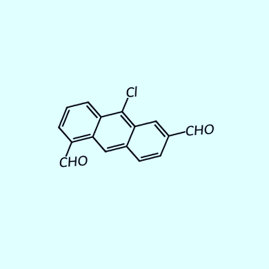 O=Cc1ccc2cc3c(C=O)cccc3c(Cl)c2c1